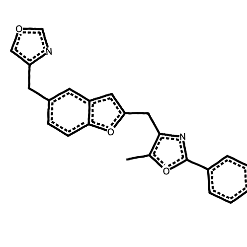 Cc1oc(-c2ccccc2)nc1Cc1cc2cc(Cc3cocn3)ccc2o1